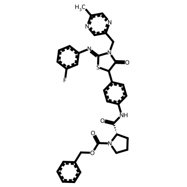 Cc1cnc(CN2C(=O)C(c3ccc(NC(=O)[C@@H]4CCCN4C(=O)OCc4ccccc4)cc3)S/C2=N\c2cccc(F)c2)cn1